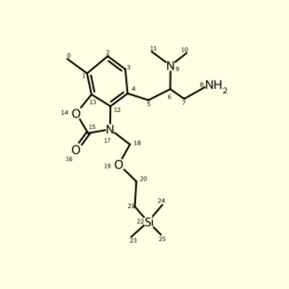 Cc1ccc(CC(CN)N(C)C)c2c1oc(=O)n2COCC[Si](C)(C)C